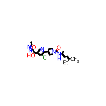 CC/C(=C\C=C(/C)NC(=O)N1CC=C(c2ncc(C(O)c3nnc(C)o3)cc2Cl)CC1)C(F)(F)F